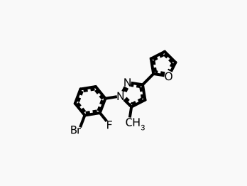 Cc1cc(-c2ccco2)nn1-c1cccc(Br)c1F